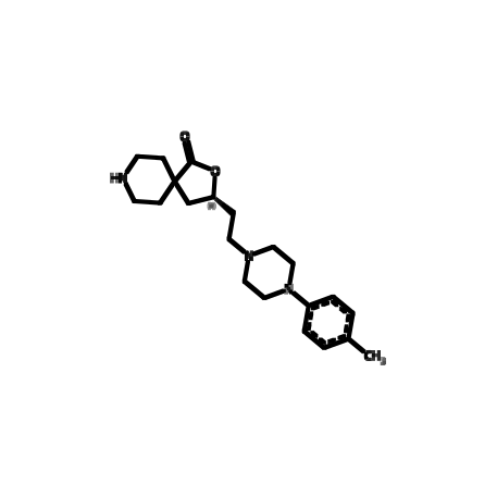 Cc1ccc(N2CCN(CC[C@H]3CC4(CCNCC4)C(=O)O3)CC2)cc1